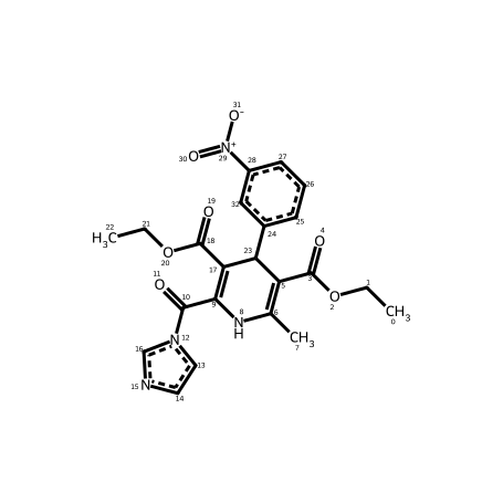 CCOC(=O)C1=C(C)NC(C(=O)n2ccnc2)=C(C(=O)OCC)C1c1cccc([N+](=O)[O-])c1